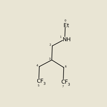 CCNCC(CC(F)(F)F)CC(F)(F)F